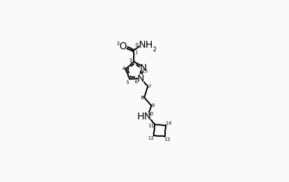 NC(=O)c1ccn(CCCNC2CCC2)n1